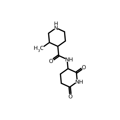 CC1CNCCC1C(=O)NC1CCC(=O)NC1=O